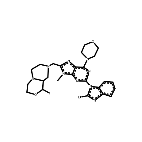 CCc1nc2ccccc2n1-c1nc(N2CCOCC2)c2nc(CN3CCN4CCOC(I)C4C3)n(C)c2n1